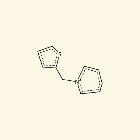 c1cc[n+](Cc2cccs2)cc1